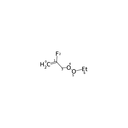 C=C(F)COOCC